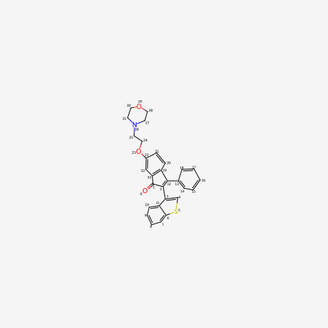 O=C1C(c2csc3ccccc23)=C(c2ccccc2)c2ccc(OCCN3CCOCC3)cc21